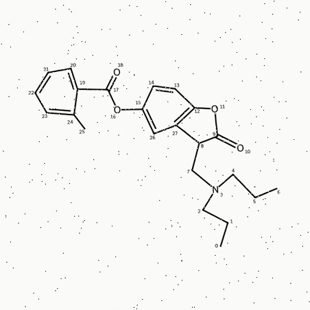 CCCN(CCC)CC1C(=O)Oc2ccc(OC(=O)c3ccccc3C)cc21